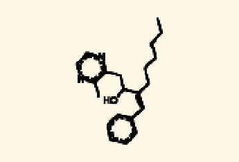 CCCCCC/C(=C/c1ccccc1)C(O)Cc1nccnc1C